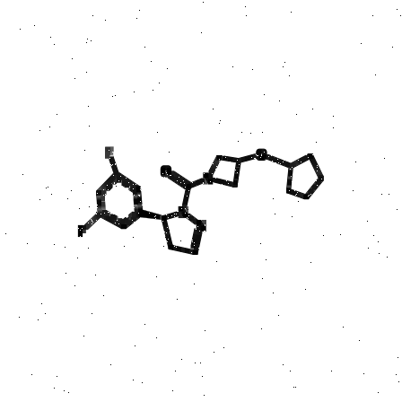 O=C(N1CC(OC2CCCC2)C1)N1N=CC[C@H]1c1cc(F)cc(F)c1